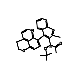 CC(=O)[C@@H](OC(C)(C)C)c1c(C)cc2ccccc2c1-c1ccc2c3c(ccnc13)CCO2